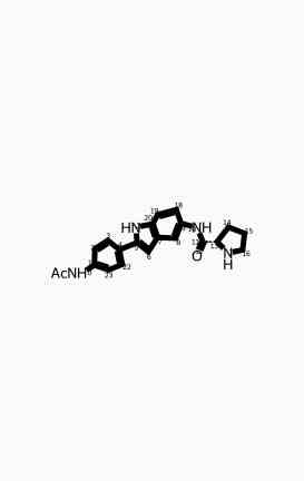 CC(=O)Nc1ccc(-c2cc3cc(NC(=O)[C@@H]4CCCN4)ccc3[nH]2)cc1